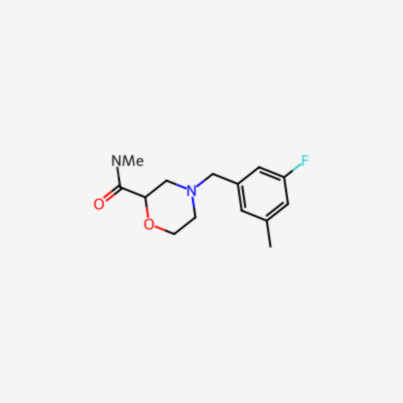 CNC(=O)C1CN(Cc2cc(C)cc(F)c2)CCO1